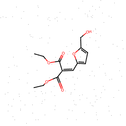 CCOC(=O)C(=Cc1ccc(CO)o1)C(=O)OCC